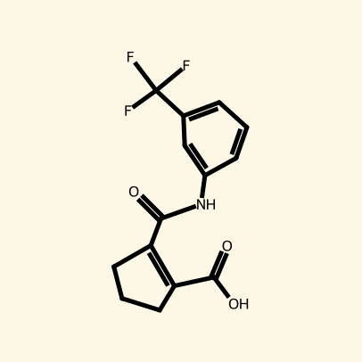 O=C(O)C1=C(C(=O)Nc2cccc(C(F)(F)F)c2)CCC1